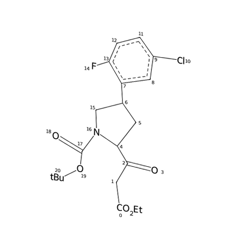 CCOC(=O)CC(=O)C1CC(c2cc(Cl)ccc2F)CN1C(=O)OC(C)(C)C